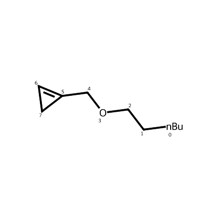 CCCCCCOCC1=CC1